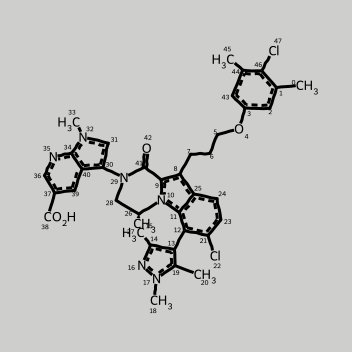 Cc1cc(OCCCc2c3n(c4c(-c5c(C)nn(C)c5C)c(Cl)ccc24)[C@H](C)CN(c2cn(C)c4ncc(C(=O)O)cc24)C3=O)cc(C)c1Cl